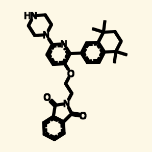 CC1(C)CCC(C)(C)c2cc(-c3nc(N4CCNCC4)ccc3OCCN3C(=O)c4ccccc4C3=O)ccc21